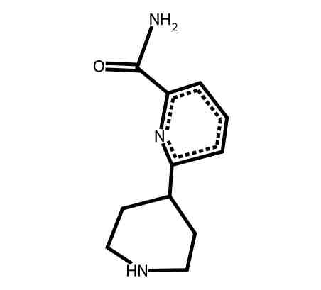 NC(=O)c1cccc(C2CCNCC2)n1